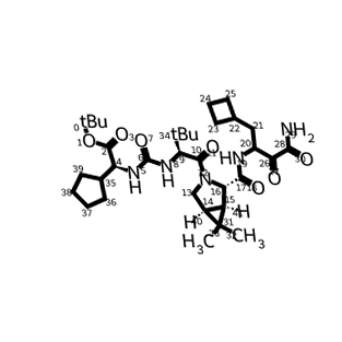 CC(C)(C)OC(=O)[C@@H](NC(=O)N[C@H](C(=O)N1C[C@H]2[C@@H]([C@H]1C(=O)NC(CC1CCC1)C(=O)C(N)=O)C2(C)C)C(C)(C)C)C1CCCC1